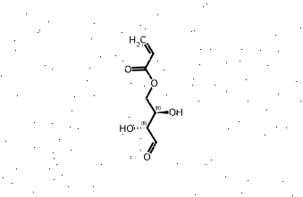 C=CC(=O)OC[C@@H](O)[C@@H](O)C=O